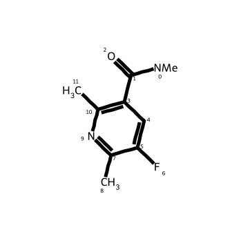 CNC(=O)c1cc(F)c(C)nc1C